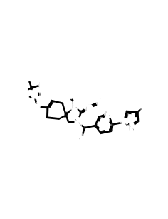 CC(c1ccc(-n2cc(F)cn2)nc1)N1CC2(CC=C(OS(=O)(=O)C(F)(F)F)CC2)N(C)C1=C=O